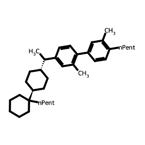 CCCCCc1ccc(-c2ccc(C(C)[C@H]3CC[C@H](C4(CCCCC)CCCCC4)CC3)cc2C)cc1C